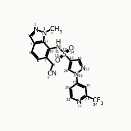 Cn1ncc2ccc(CC#N)c(NS(=O)(=O)c3cnn(-c4ccnc(C(F)(F)F)c4)c3)c21